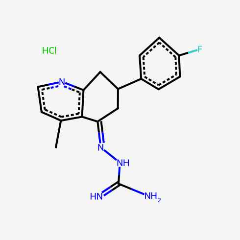 Cc1ccnc2c1C(=NNC(=N)N)CC(c1ccc(F)cc1)C2.Cl